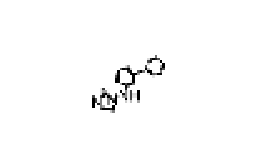 c1ccc(-c2cccc(Nn3ccnn3)c2)cc1